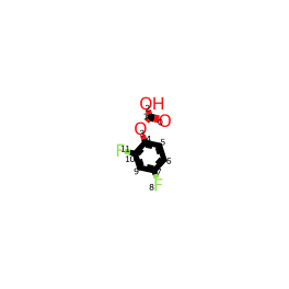 O=C(O)Oc1ccc(F)cc1F